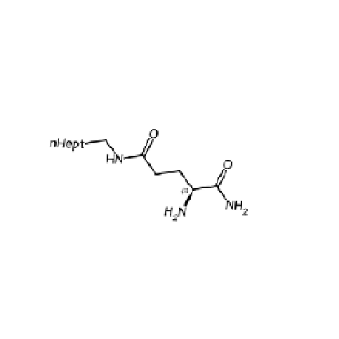 CCCCCCCCNC(=O)CC[C@H](N)C(N)=O